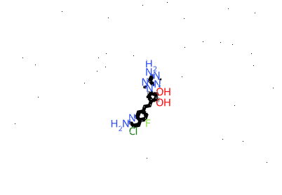 Nc1nc2cc(CCC3=C[C@@H](n4cnc5c(N)ncnc54)[C@H](O)[C@@H]3O)cc(F)c2cc1Cl